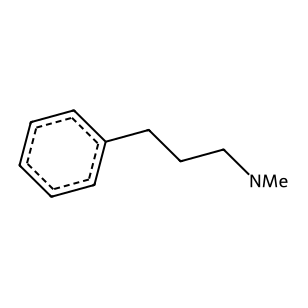 [CH2-][NH2+]CCCc1ccccc1